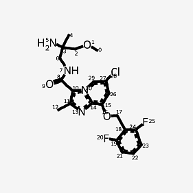 COCC(C)(N)CNC(=O)c1c(C)nc2c(OCc3c(F)cccc3F)cc(Cl)cn12